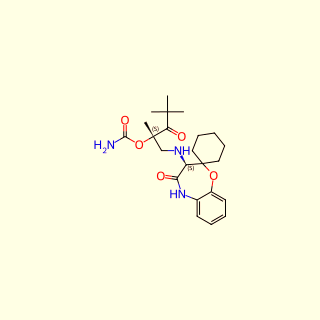 CC(C)(C)C(=O)[C@](C)(CN[C@@H]1C(=O)Nc2ccccc2OC12CCCCC2)OC(N)=O